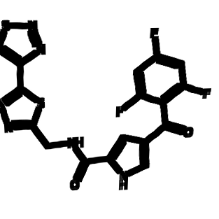 O=C(NCc1nnc(-c2csnn2)s1)c1cc(C(=O)c2c(F)cc(F)cc2F)c[nH]1